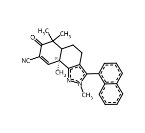 Cn1nc2c(c1-c1cccc3ccccc13)CCC1C(C)(C)C(=O)C(C#N)=C[C@]21C